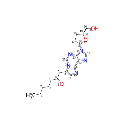 CCCCCC(=O)Cc1cnc2c3ncn([C@H]4CC[C@@H](CO)O4)c3ncn12